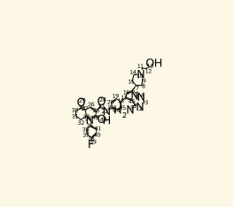 Nc1ncnn2c(C3CCN(CCO)CC3)cc(-c3ccc(NC(=O)C4=CC5C(=O)CCCC5N(c5ccc(F)cc5)C4=O)cc3)c12